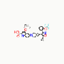 CCOc1cc(C(=O)O)nc2ccc(N3CCC4(C=C(c5c(-c6ccccc6OC(F)(F)F)noc5C5CC5)C4)CC3)cc12